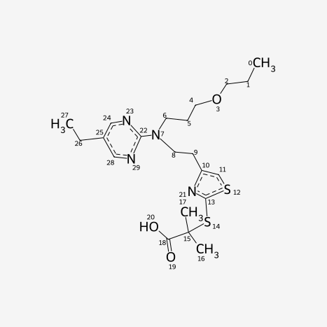 CCCOCCCN(CCc1csc(SC(C)(C)C(=O)O)n1)c1ncc(CC)cn1